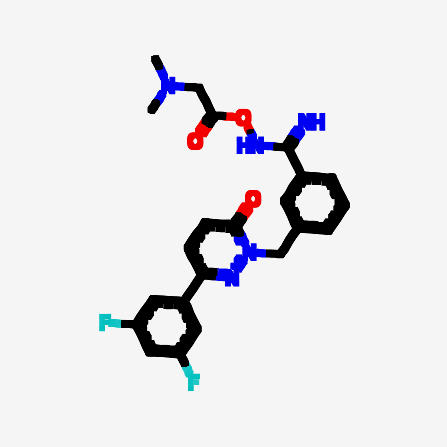 CN(C)CC(=O)ONC(=N)c1cccc(Cn2nc(-c3cc(F)cc(F)c3)ccc2=O)c1